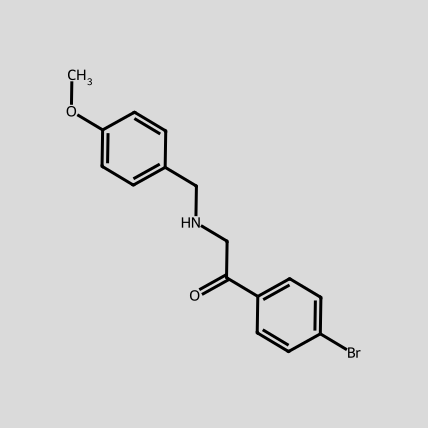 COc1ccc(CNCC(=O)c2ccc(Br)cc2)cc1